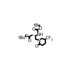 CC(C)(C)OC(=O)C[C@@H](CN1CC(C(F)(F)F)CCC1=O)NC(=O)OC(C)(C)C